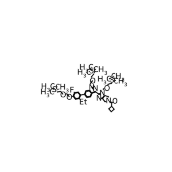 CCc1cc(OCOCC[Si](C)(C)C)c(F)cc1-c1ccc2c(-c3nc4c(n3COCC[Si](C)(C)C)CN(C(=O)C3CCC3)C4)nn(COCC[Si](C)(C)C)c2c1